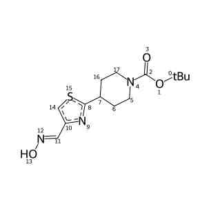 CC(C)(C)OC(=O)N1CCC(c2nc(/C=N/O)cs2)CC1